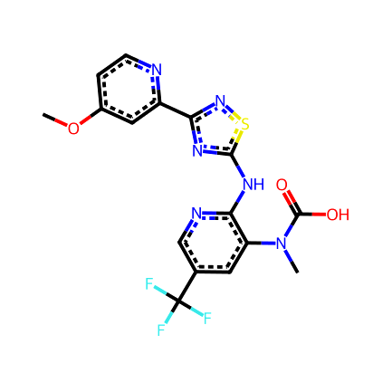 COc1ccnc(-c2nsc(Nc3ncc(C(F)(F)F)cc3N(C)C(=O)O)n2)c1